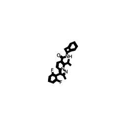 Cc1nn2c(C(C)C)c(C(=O)NC3Cc4ccccc43)ccc2c1-c1c(F)cccc1F